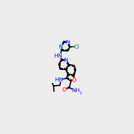 CC(C)CNc1c(C(N)=O)oc2ccc3nc(Nc4cc(Cl)ncn4)ccc3c12